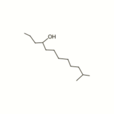 CCCC(O)CCCCCCC(C)C